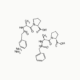 C[C@H](N[PH](=O)Cc1ccccc1)C(=O)N1CCC[C@H]1C(=O)O.C[C@H](N[PH](=O)Cc1ccccc1)C(=O)N1CCC[C@H]1C(=O)O.N.N